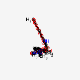 COCCOCCOCCOCCOCCOCCOCCOCCNC(=O)CCCCCS(=O)(=O)OCC(C)(O)C(=O)[C@H](CC(C)C)NC(=O)[C@H](Cc1ccccc1)NC(=O)[C@H](CC(C)C)NC(=O)[C@H](CCc1ccccc1)NC(=O)CN1CCOCC1